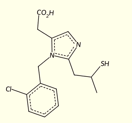 CC(S)Cc1ncc(CC(=O)O)n1Cc1ccccc1Cl